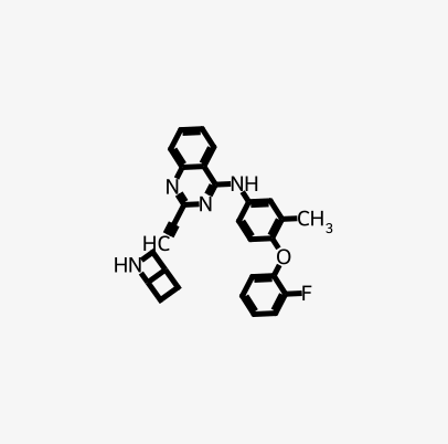 C#Cc1nc(Nc2ccc(Oc3ccccc3F)c(C)c2)c2ccccc2n1.C1CC2NCC12